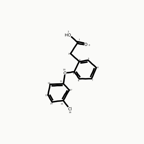 O=C(O)Cc1ccccc1Oc1cccc(Cl)c1